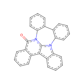 O=c1c2ccccc2c2c3ccccc3n3c2n1-c1ccccc1-c1ccccc1-3